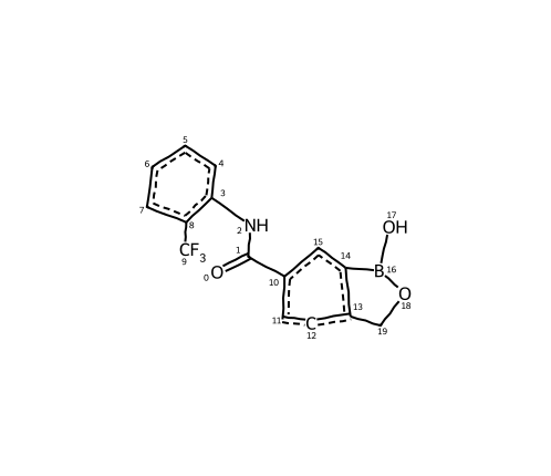 O=C(Nc1ccccc1C(F)(F)F)c1ccc2c(c1)B(O)OC2